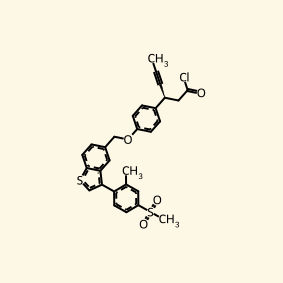 CC#C[C@@H](CC(=O)Cl)c1ccc(OCc2ccc3scc(-c4ccc(S(C)(=O)=O)cc4C)c3c2)cc1